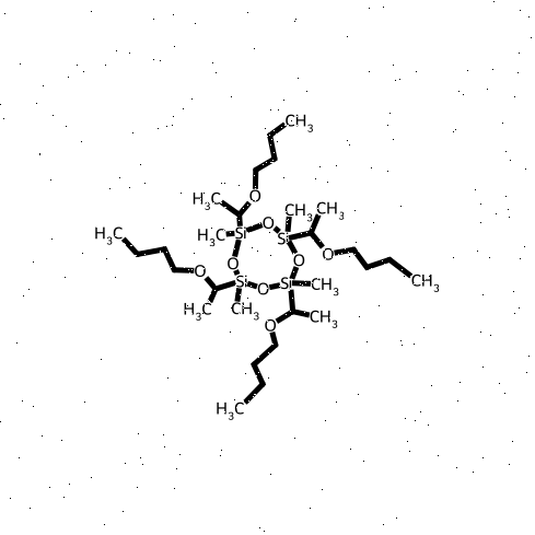 CCCCOC(C)[Si]1(C)O[Si](C)(C(C)OCCCC)O[Si](C)(C(C)OCCCC)O[Si](C)(C(C)OCCCC)O1